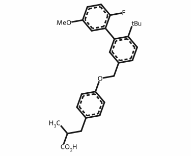 COc1ccc(F)c(-c2cc(COc3ccc(CC(C)C(=O)O)cc3)ccc2C(C)(C)C)c1